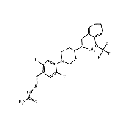 CN(Cc1ccccc1OC(F)(F)F)C1CCN(c2cc(F)c(/C=N/NC(N)=S)cc2F)CC1